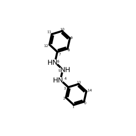 c1ccc(NNNc2ccccc2)cc1